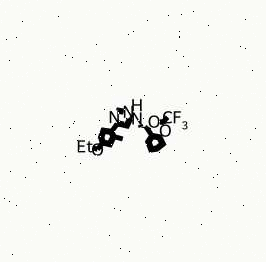 CCOc1ccc(-c2cc(NC[C@H](OC(=O)C(F)(F)F)c3ccccc3)ncn2)c(C)c1